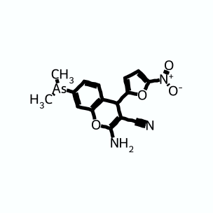 C[As](C)c1ccc2c(c1)OC(N)=C(C#N)C2c1ccc([N+](=O)[O-])o1